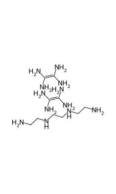 NC(N)=C(N)N.NC(N)=C(N)N.NCCNCCNCCN